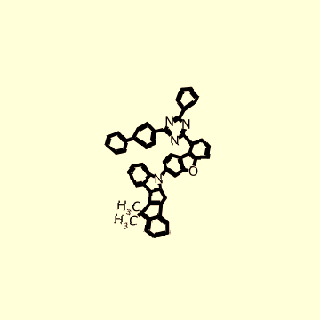 CC1(C)C2=C(CC3C2c2ccccc2N3c2ccc3c4c(oc3c2)C=CCC4c2nc(-c3ccccc3)nc(-c3ccc(-c4ccccc4)cc3)n2)c2ccccc21